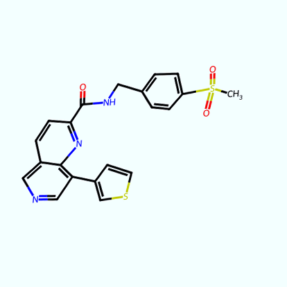 CS(=O)(=O)c1ccc(CNC(=O)c2ccc3cncc(-c4ccsc4)c3n2)cc1